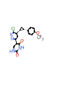 O=c1[nH]cc(-c2cc([C@H]3C[C@@H]3c3ccc(OC(F)(F)F)cc3)c(Cl)nn2)c(=O)[nH]1